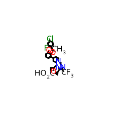 CC1(c2ccc(Cl)cc2F)Oc2cccc(C3CCN(Cc4nc(C(F)(F)F)c(C5CC5C(=O)O)n4CC4CCO4)CC3)c2O1